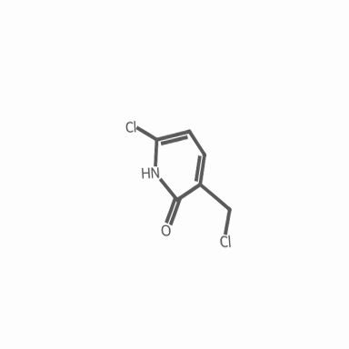 O=c1[nH]c(Cl)ccc1CCl